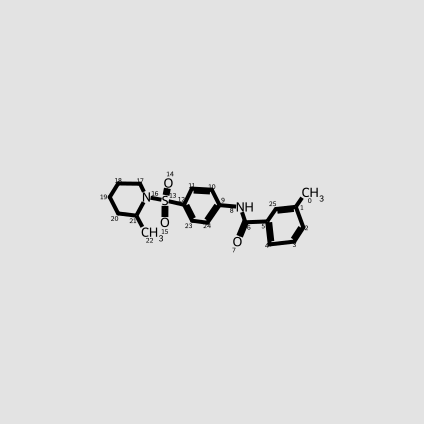 Cc1cccc(C(=O)Nc2ccc(S(=O)(=O)N3CCCCC3C)cc2)c1